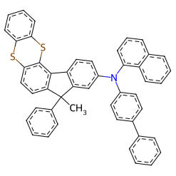 CC1(c2ccccc2)c2cc(N(c3ccc(-c4ccccc4)cc3)c3cccc4ccccc34)ccc2-c2c1ccc1c2Sc2ccccc2S1